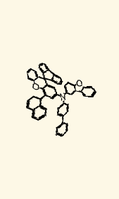 c1ccc(-c2ccc(N(c3cc(-c4cccc5ccccc45)c4c(c3)C3(c5ccccc5O4)c4ccccc4-c4ccccc43)c3ccc4oc5ccccc5c4c3)cc2)cc1